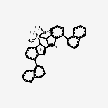 CC1=Cc2c(-c3cccc4ccccc34)cccc2[CH]1[Zr]([CH3])([CH3])([CH]1C(C)=Cc2c(-c3cccc4ccccc34)cccc21)[SiH](C)C